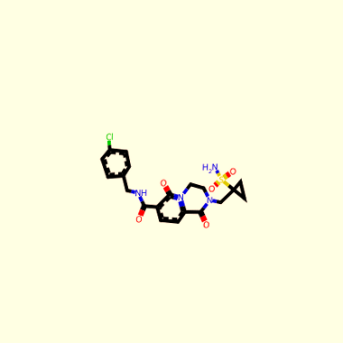 NS(=O)(=O)C1(CN2CCn3c(ccc(C(=O)NCc4ccc(Cl)cc4)c3=O)C2=O)CC1